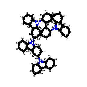 c1ccc(-n2c3ccccc3c3ccccc32)c(-c2ccccc2-n2c3ccccc3c3cc(-n4c5ccccc5c5cc(-n6c7ccccc7c7ccccc76)ccc54)ccc32)c1